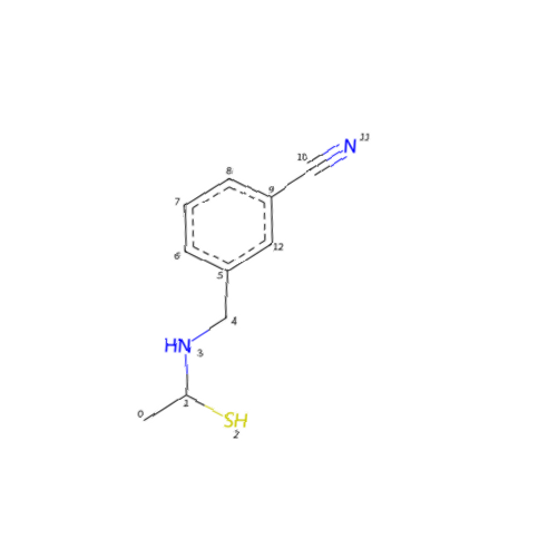 CC(S)NCc1cccc(C#N)c1